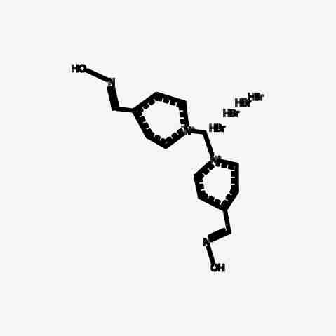 Br.Br.Br.Br.ON=Cc1cc[n+](C[n+]2ccc(C=NO)cc2)cc1